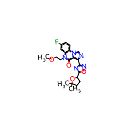 COCCn1c(=O)c2c(-c3noc(C4CCC(C)(C)O4)n3)ncn2c2ccc(F)cc21